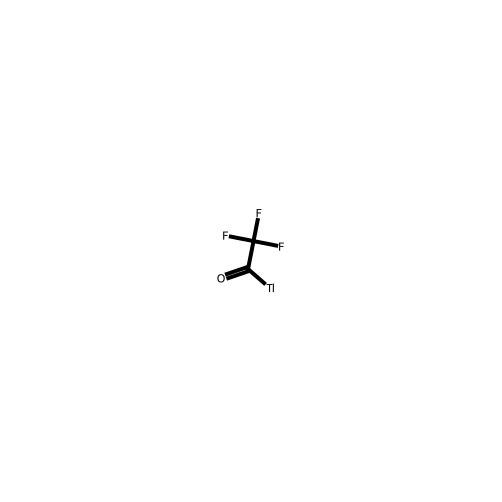 O=[C]([Tl])C(F)(F)F